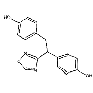 Oc1ccc(CC(c2ccc(O)cc2)c2ncon2)cc1